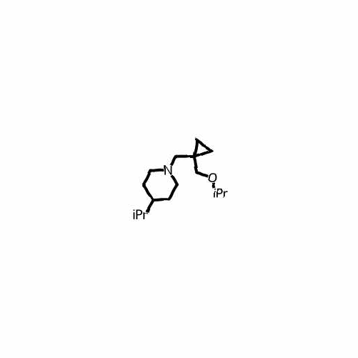 CC(C)OCC1(CN2CCC(C(C)C)CC2)CC1